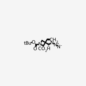 C=CC1([C@H](N=[N+]=[N-])C(=O)O)CN(C(=O)OC(C)(C)C)C1